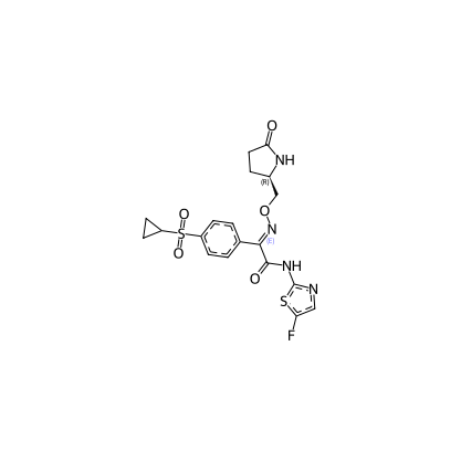 O=C1CC[C@H](CO/N=C(/C(=O)Nc2ncc(F)s2)c2ccc(S(=O)(=O)C3CC3)cc2)N1